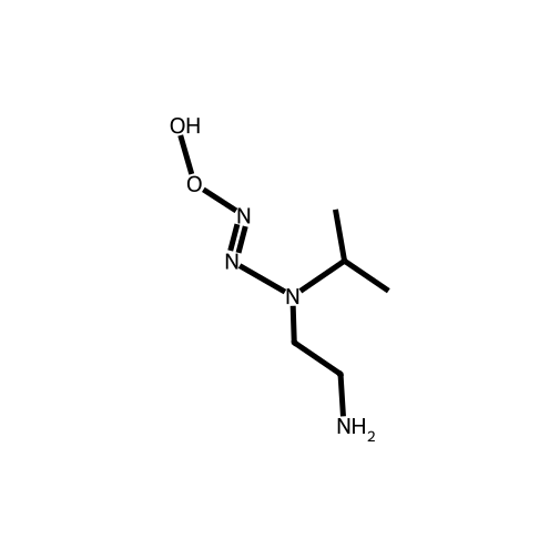 CC(C)N(CCN)/N=N/OO